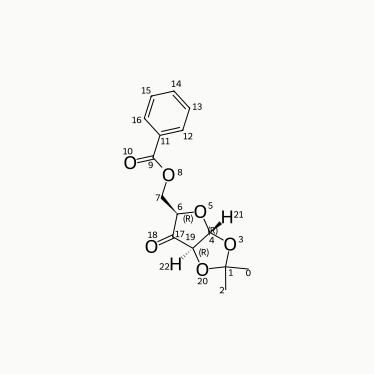 CC1(C)O[C@H]2O[C@H](COC(=O)c3ccccc3)C(=O)[C@@H]2O1